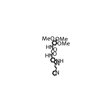 COc1cc(NC(=O)CC(=O)Nc2ccc3c(C=Cc4ccccn4)n[nH]c3c2)cc(OC)c1OC